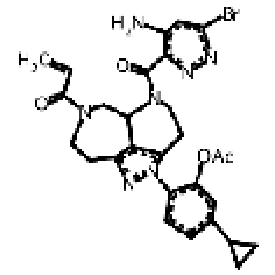 C=CC(=O)N1CCc2nn(-c3ccc(C4CC4)cc3OC(C)=O)c3c2C(C1)N(C(=O)c1nnc(Br)cc1N)CC3